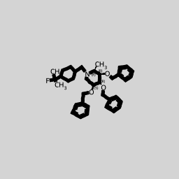 C[C@@H]1[C@@H](OCc2ccccc2)[C@H](OCc2ccccc2)[C@@H](OCc2ccccc2)CN1CC1CCC(C(C)(C)F)CC1